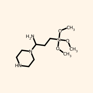 CO[Si](CCC(N)N1CCNCC1)(OC)OC